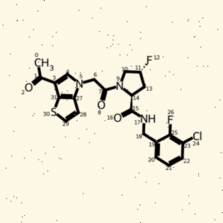 CC(=O)c1cn(CC(=O)N2C[C@H](F)C[C@H]2C(=O)NCc2cccc(Cl)c2F)c2ccsc12